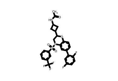 CC(=O)NC1CC(C2CN(S(=O)(=O)c3cccc(C(F)(F)F)c3)c3cc(-c4cc(F)ccc4F)ccc3O2)C1